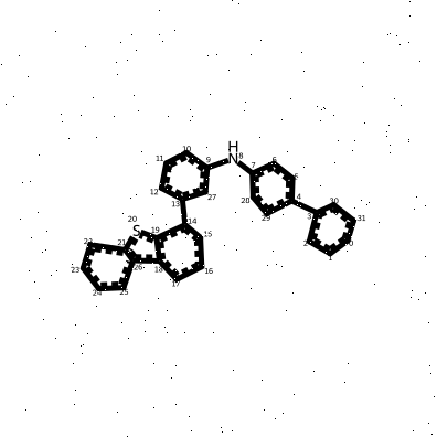 c1ccc(-c2ccc(Nc3cccc(-c4cccc5c4sc4ccccc45)c3)cc2)cc1